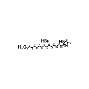 Br.CCCCCCCCCCCCCCCCc1ncc[nH]1